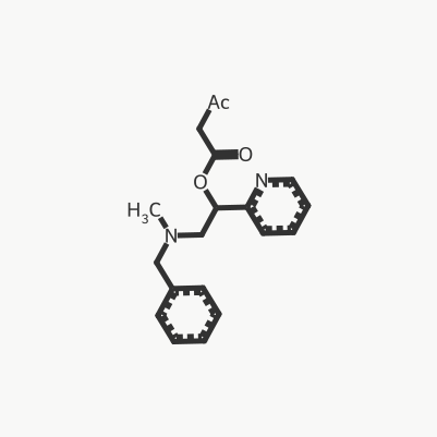 CC(=O)CC(=O)OC(CN(C)Cc1ccccc1)c1ccccn1